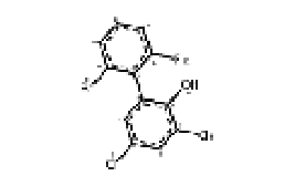 Oc1c(Cl)cc(Cl)cc1-c1c(F)cccc1Br